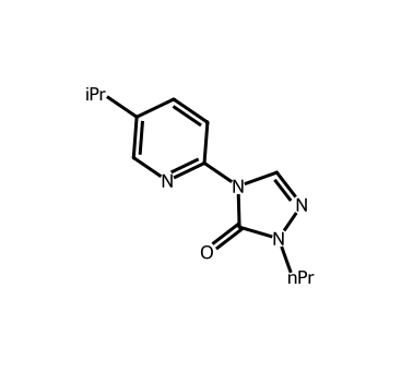 CCCn1ncn(-c2ccc(C(C)C)cn2)c1=O